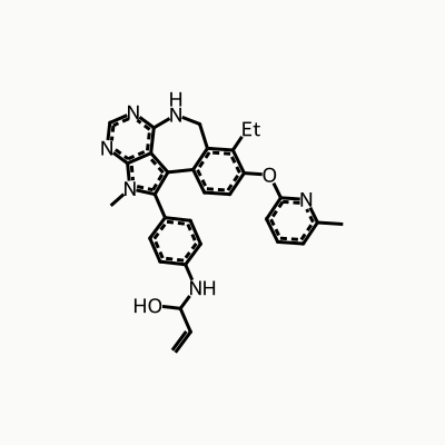 C=CC(O)Nc1ccc(-c2c3c4c(ncnc4n2C)NCc2c-3ccc(Oc3cccc(C)n3)c2CC)cc1